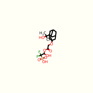 CC(C)(O)C12CC3CC(CC(OCC(=O)OC(O)C(F)(F)S(=O)(=O)O)(C3)C1)C2